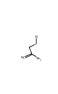 [CH]=C([SiH3])CCCC